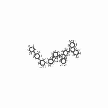 c1ccc(-c2ccc(-c3cccc(-c4ccc5oc6c(-n7c8ccccc8c8cc(-n9c%10ccccc%10c%10ccccc%109)ccc87)cccc6c5c4)c3)cc2)cc1